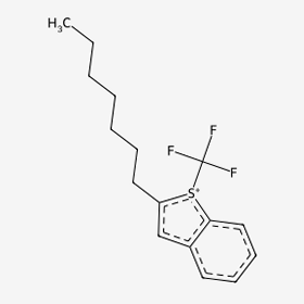 CCCCCCCc1cc2ccccc2[s+]1C(F)(F)F